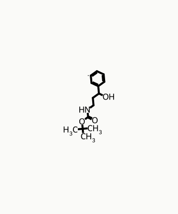 CC(C)(C)OC(=O)NCCC(O)c1c[c]ccc1